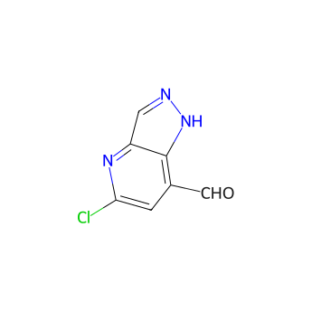 O=Cc1cc(Cl)nc2cn[nH]c12